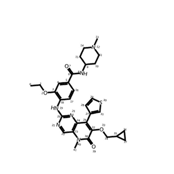 CCOc1cc(C(=O)NC2CCN(C)CC2)ccc1Nc1ncc2c(n1)c(-c1ccsc1)c(OCC1CC1)c(=O)n2C